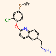 CCCSc1ccc(Oc2ccc3cc(CCN)ccc3n2)c(Cl)c1